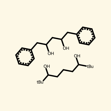 CC(C)(C)C(O)CCCC(O)C(C)(C)C.OC(Cc1ccccc1)CC(O)Cc1ccccc1